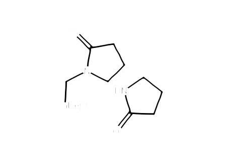 CCCCCCCCN1CCCC1=O.O=C1CCCN1